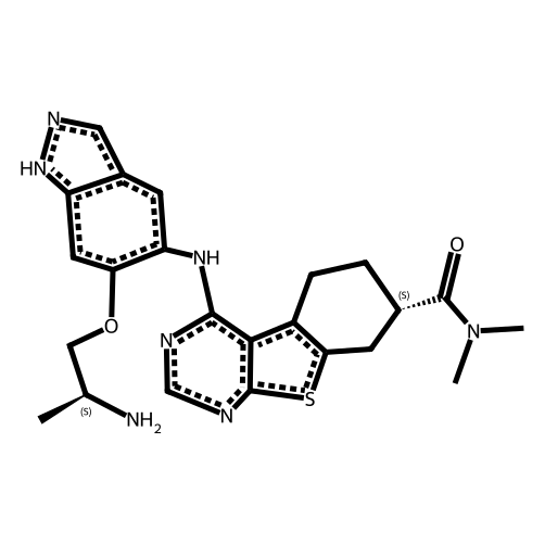 C[C@H](N)COc1cc2[nH]ncc2cc1Nc1ncnc2sc3c(c12)CC[C@H](C(=O)N(C)C)C3